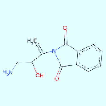 C=C(C(O)CN)N1C(=O)c2ccccc2C1=O